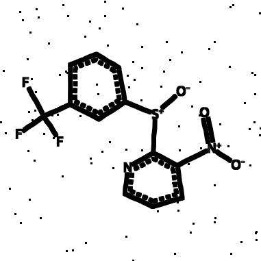 O=[N+]([O-])c1cccnc1[S+]([O-])c1cccc(C(F)(F)F)c1